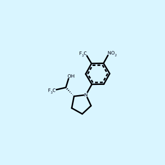 O=[N+]([O-])c1ccc(N2CCC[C@@H]2C(O)C(F)(F)F)cc1C(F)(F)F